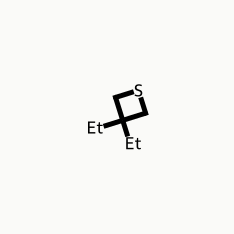 CCC1(CC)CSC1